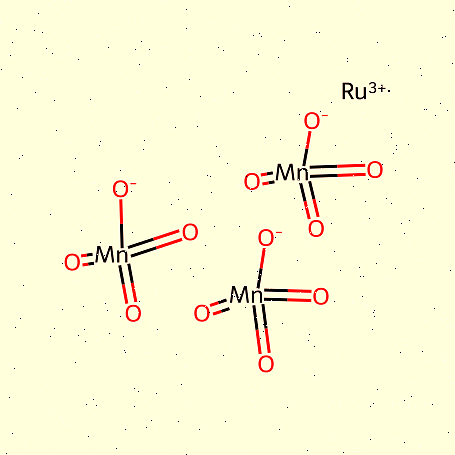 [O]=[Mn](=[O])(=[O])[O-].[O]=[Mn](=[O])(=[O])[O-].[O]=[Mn](=[O])(=[O])[O-].[Ru+3]